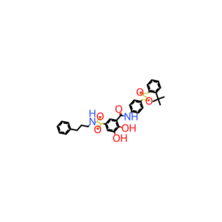 CC(C)(C)c1ccccc1S(=O)(=O)c1ccc(NC(=O)c2cc(S(=O)(=O)NCCCc3ccccc3)cc(O)c2O)cc1